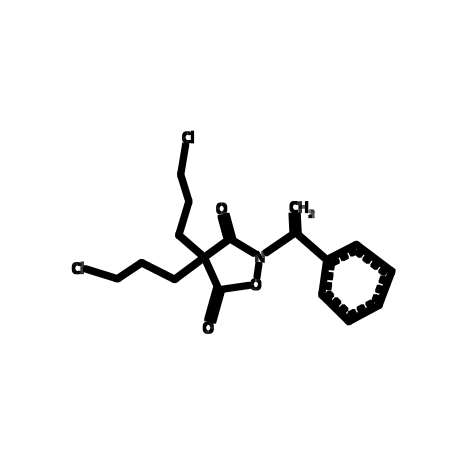 C=C(c1ccccc1)N1OC(=O)C(CCCCl)(CCCCl)C1=O